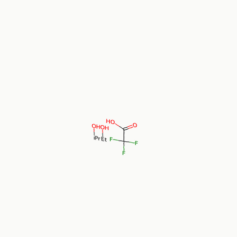 CC(C)O.CCO.O=C(O)C(F)(F)F